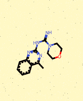 Cc1nc(NC(=N)N2CCOCC2)nc2ccccc12